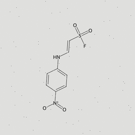 O=[N+]([O-])c1ccc(NC=CS(=O)(=O)F)cc1